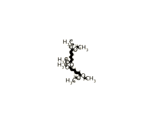 CCOC(C=CCCC(OC)OC(CCC=CC(OCC)OCC)OC)OCC